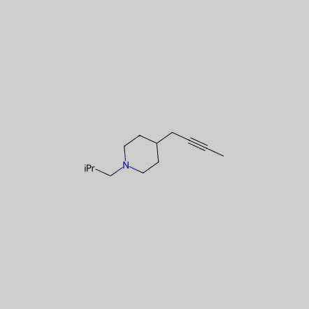 CC#CCC1CCN(CC(C)C)CC1